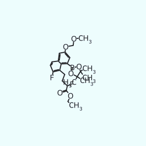 CCOC(=O)C(F)CCc1c(F)ccc2cc(OCOC)cc(B3OC(C)(C)C(C)(C)O3)c12